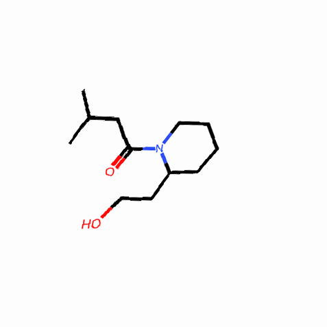 CC(C)CC(=O)N1CCCCC1CCO